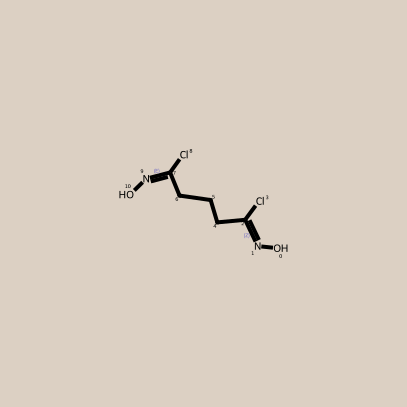 O/N=C(\Cl)CCC/C(Cl)=N\O